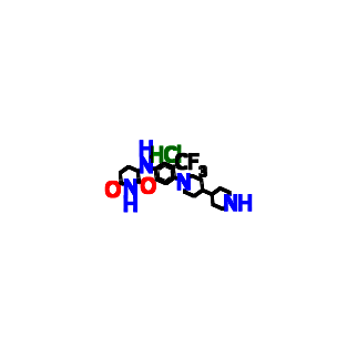 Cl.O=C1CCC(Nc2ccc(N3CCC(C4CCNCC4)CC3)c(C(F)(F)F)c2)C(=O)N1